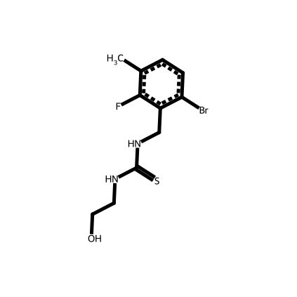 Cc1ccc(Br)c(CNC(=S)NCCO)c1F